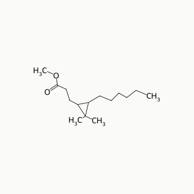 CCCCCCC1C(CCC(=O)OC)C1(C)C